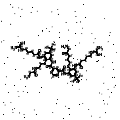 N=C(N)NCCCCC(=O)Nc1cc(C(F)(F)F)cc(NC(=O)c2cc(C(=O)Nc3cc(C(F)(F)F)cc(NC(=O)CCCCNC(=N)N)c3SCCNC(=O)CN)ncn2)c1SCCCC(=O)CN